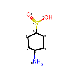 NC1CCC(S(=O)O)CC1